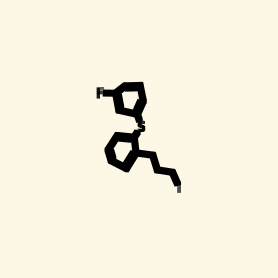 Fc1cccc(Sc2ccccc2CCCI)c1